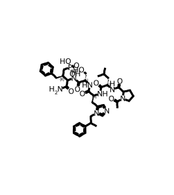 CC(=O)N1CCCC1C(=O)N[C@@H](CC(C)C)C(=O)N[C@@H](Cc1cncn1CC(C)c1ccccc1)C(=O)N[C@@H](CO)C(=O)NC(C(N)=O)[C@@H](Cc1ccccc1)CP(=O)(O)O